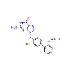 Cl.Nc1nc2c(ncn2Cc2ccc(-c3ccccc3OC(=O)O)cc2)c(=O)[nH]1